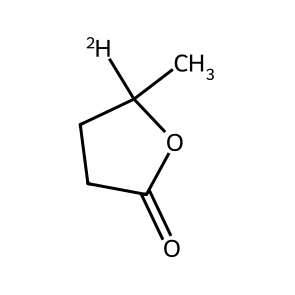 [2H]C1(C)CCC(=O)O1